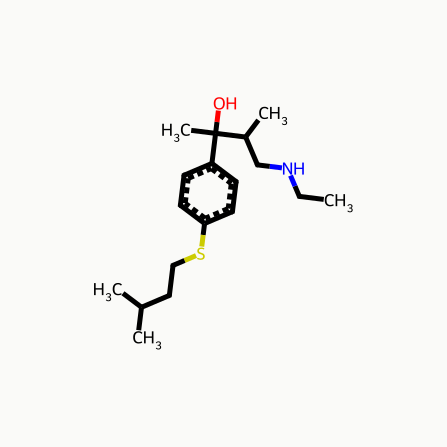 CCNCC(C)C(C)(O)c1ccc(SCCC(C)C)cc1